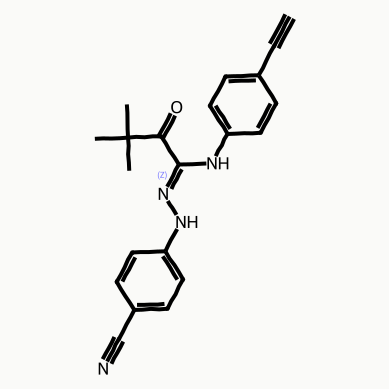 C#Cc1ccc(N/C(=N\Nc2ccc(C#N)cc2)C(=O)C(C)(C)C)cc1